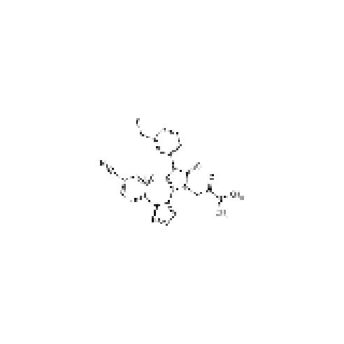 Cc1c(-c2ccnn2-c2ccc(C#N)cc2)n(CC(=O)N(C)C)c(=O)n1-c1cccc(CF)c1